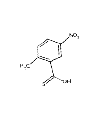 Cc1ccc([N+](=O)[O-])cc1C(O)=S